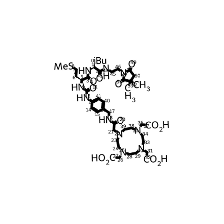 CC[C@H](C)[C@H](NC(=O)[C@H](CCSC)NC(=O)Nc1ccc(CNC(=O)CN2CCN(CC(=O)O)CCN(CC(=O)O)CCN(CC(=O)O)CC2)cc1)C(=O)NCCN1C(=O)CC(C)(C)C1=O